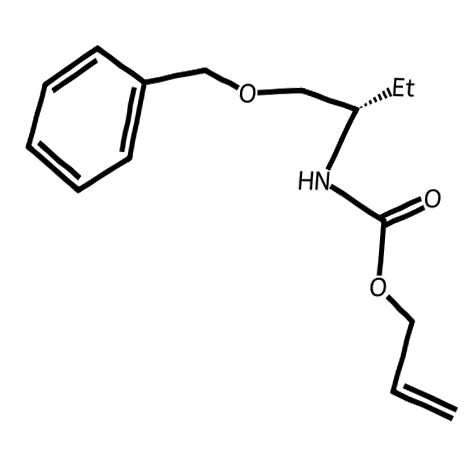 [CH2]C[C@@H](COCc1ccccc1)NC(=O)OCC=C